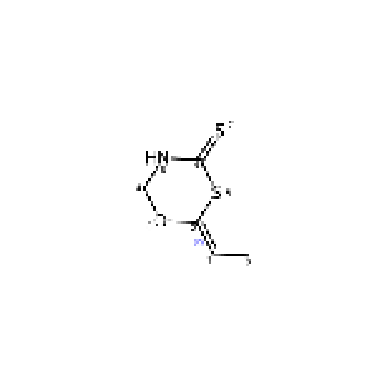 C/C=C1/OCNC(=S)S1